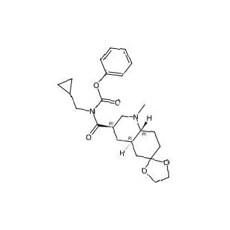 CN1C[C@H](C(=O)N(CC2CC2)C(=O)Oc2ccccc2)C[C@@H]2CC3(CC[C@H]21)OCCO3